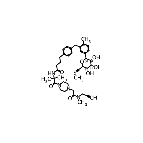 C#CCN(C)C(=O)CN1CCN(C(=O)C(C)(C)NC(=O)CCCc2ccc(Cc3cc([C@@H]4OC(C#SC)[C@@H](O)[C@H](O)[C@H]4O)ccc3C)cc2)CC1